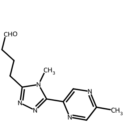 Cc1cnc(-c2nnc(CCCC=O)n2C)cn1